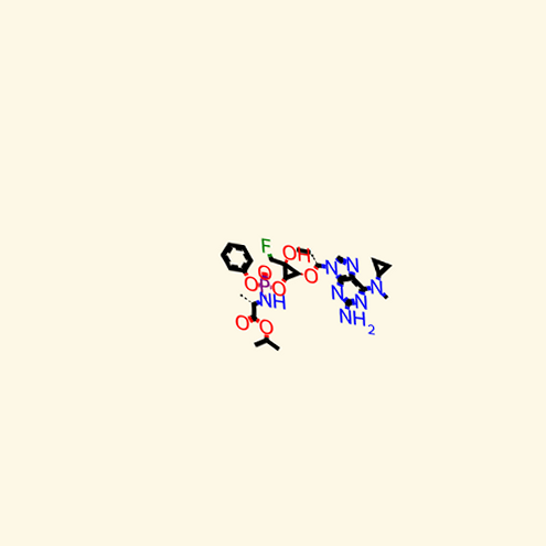 CC[C@@H](O[C@@H]1C(O[P@@](=O)(N[C@@H](C)C(=O)OC(C)C)Oc2ccccc2)[C@]1(O)CF)n1cnc2c(N(C)C3CC3)nc(N)nc21